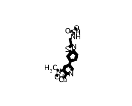 CN(C)c1cc(-c2ccc3nc(CN[SH](=O)=O)sc3c2)cnc1Cl